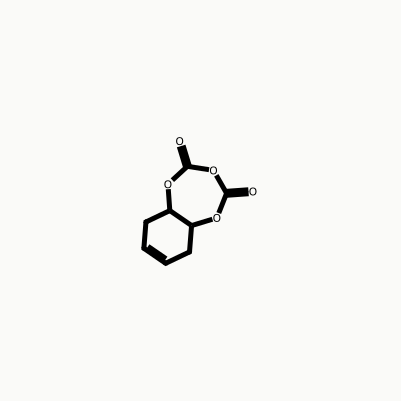 O=C1OC(=O)OC2CC=CCC2O1